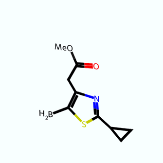 Bc1sc(C2CC2)nc1CC(=O)OC